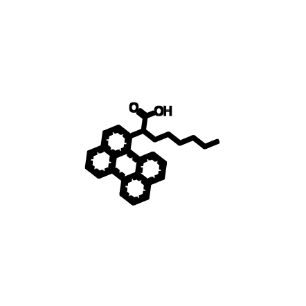 CCCCCCC(C(=O)O)c1ccc2cccc3c4cccc5cccc(c1c23)c54